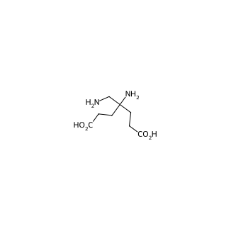 NCC(N)(CCC(=O)O)CCC(=O)O